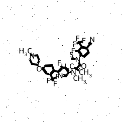 CN1CCC(Oc2ccc(-c3ncc(N(C)C(C)(C)C(=O)N(C=S)c4ccc(C#N)c(C(F)(F)F)c4F)cc3F)c(C(F)(F)F)c2)CC1